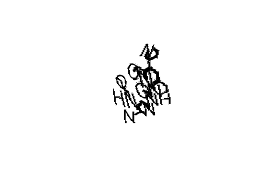 COCCNc1cc(NC(=O)N2CCCc3cc(-c4cccnc4)c(C=O)nc32)ncc1C#N